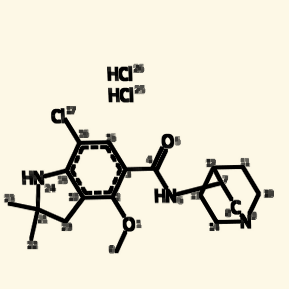 COc1c(C(=O)NC2CN3CCC2CC3)cc(Cl)c2c1CC(C)(C)N2.Cl.Cl